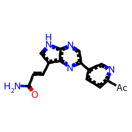 CC(=O)c1ccc(-c2cnc3[nH]cc(C=CC(N)=O)c3n2)cn1